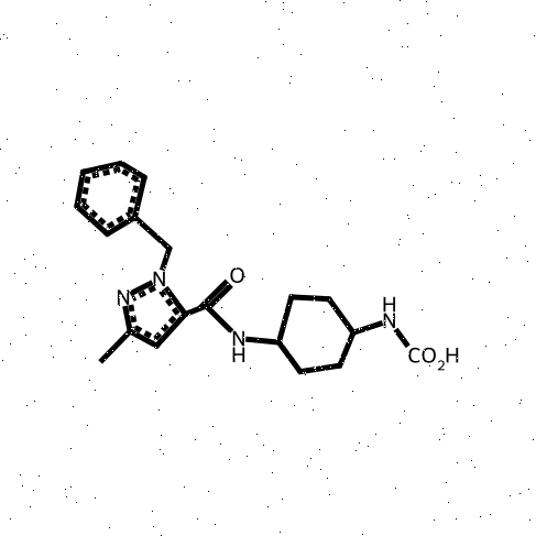 Cc1cc(C(=O)NC2CCC(NC(=O)O)CC2)n(Cc2ccccc2)n1